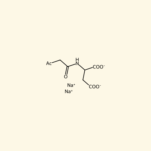 CC(=O)CC(=O)NC(CC(=O)[O-])C(=O)[O-].[Na+].[Na+]